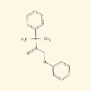 CC(C)(C(=O)COc1ccccc1)c1ccccc1